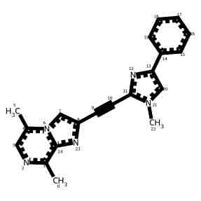 Cc1ncc(C)n2cc(C#Cc3nc(-c4ccccc4)cn3C)nc12